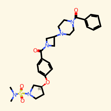 CN(C)S(=O)(=O)N1CC[C@H](Oc2ccc(C(=O)N3CC(N4CCN(C(=O)c5ccccc5)CC4)C3)cc2)C1